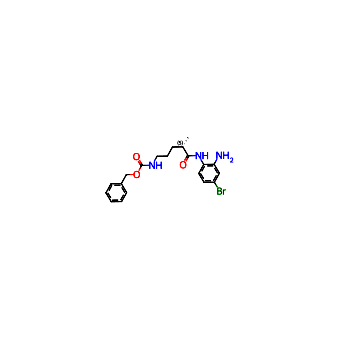 C[C@@H](CCCNC(=O)OCc1ccccc1)C(=O)Nc1ccc(Br)cc1N